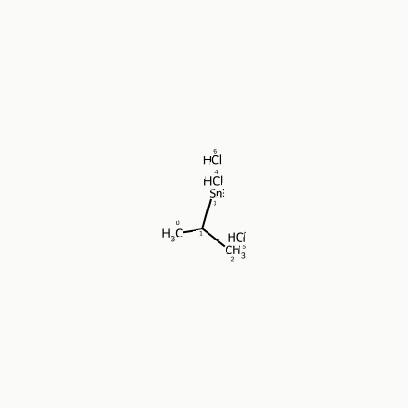 C[CH](C)[Sn].Cl.Cl.Cl